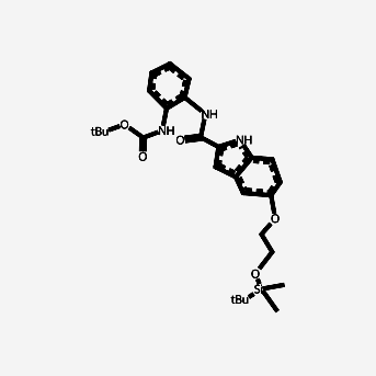 CC(C)(C)OC(=O)Nc1ccccc1NC(=O)c1cc2cc(OCCO[Si](C)(C)C(C)(C)C)ccc2[nH]1